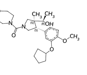 COc1ccc([C@@H]2CN(C(=O)N3CCOCC3)C[C@@]2(C)[C@@H](C)O)cc1OC1CCCC1